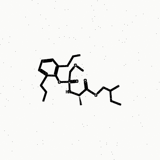 CCCc1cccc(CCC)c1OP(=O)(COC)N[C@@H](C)C(=O)OCC(C)CC